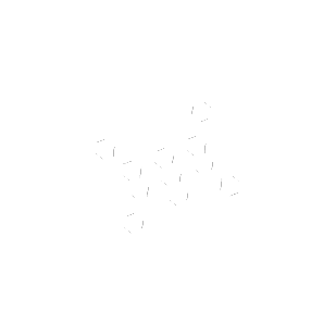 c1ccc(-c2ccc3c4c(c(-c5ccccc5)cc3c2)Oc2ccc3c5c(c6ccccc6c-4c25)-c2c(c(-c4ccccc4)cc4cc(-c5ccccc5)ccc24)O3)cc1